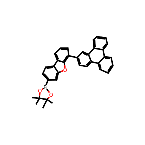 CC1(C)OB(c2ccc3c(c2)oc2c(-c4ccc5c6ccccc6c6ccccc6c5c4)cccc23)OC1(C)C